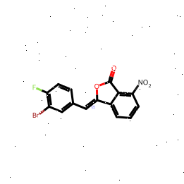 O=C1O/C(=C\c2ccc(F)c(Br)c2)c2cccc([N+](=O)[O-])c21